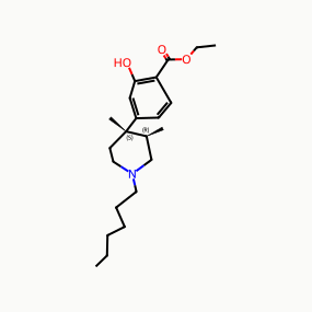 CCCCCCN1CC[C@](C)(c2ccc(C(=O)OCC)c(O)c2)[C@@H](C)C1